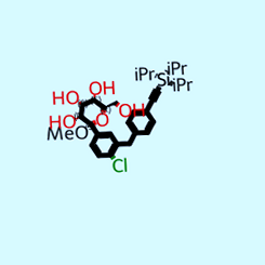 CO[C@@]1(c2ccc(Cl)c(Cc3ccc(C#C[Si](C(C)C)(C(C)C)C(C)C)cc3)c2)O[C@H](CO)[C@@H](O)[C@H](O)[C@H]1O